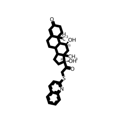 CC12CCC(=O)C=C1CCC1C2[C@@H](O)CC2(C)C1CC[C@]2(O)C(=O)CSc1ccc2ccccc2n1